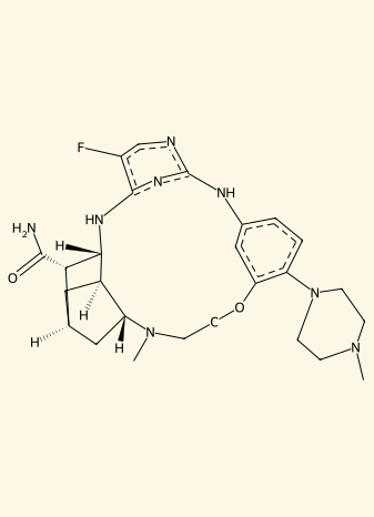 CN1CCN(c2ccc3cc2OCCN(C)[C@@H]2C[C@@H]4C[C@H]2[C@@H](Nc2nc(ncc2F)N3)[C@H]4C(N)=O)CC1